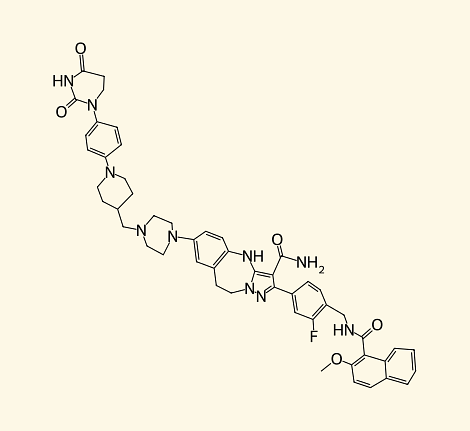 COc1ccc2ccccc2c1C(=O)NCc1ccc(-c2nn3c(c2C(N)=O)Nc2ccc(N4CCN(CC5CCN(c6ccc(N7CCC(=O)NC7=O)cc6)CC5)CC4)cc2CC3)cc1F